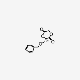 O=C1COC(=O)[C@H](COCc2ccccc2)O1